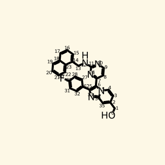 OCc1ccn2c(-c3ccnc(NCc4cccc5ccccc45)n3)c(-c3ccc(F)cc3)nc2c1